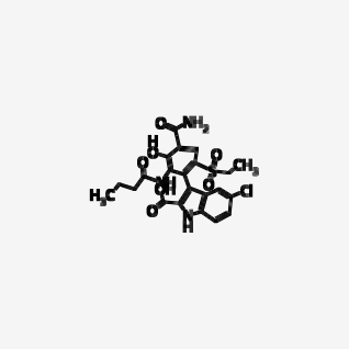 CCCC(=O)Nc1c(O)c(C(N)=O)cc(S(=O)(=O)CC)c1-c1c(C(=O)O)[nH]c2ccc(Cl)cc12